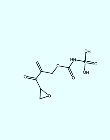 C=C(COC(=O)NP(=O)(O)O)C(=O)C1CO1